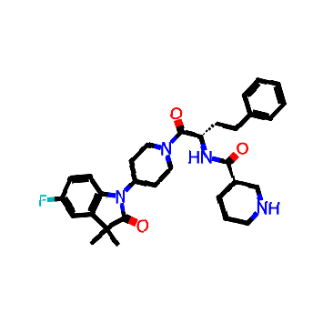 CC1(C)C(=O)N(C2CCN(C(=O)[C@H](CCc3ccccc3)NC(=O)[C@@H]3CCCNC3)CC2)c2ccc(F)cc21